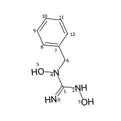 N=C(NO)N(O)Cc1ccccc1